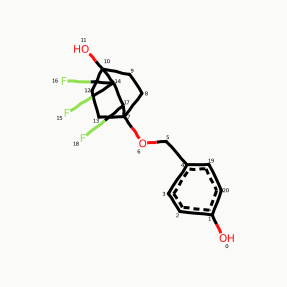 Oc1ccc(COC23CCC(O)(CC2)C(F)(F)C3F)cc1